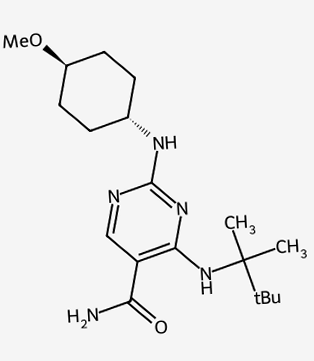 CO[C@H]1CC[C@H](Nc2ncc(C(N)=O)c(NC(C)(C)C(C)(C)C)n2)CC1